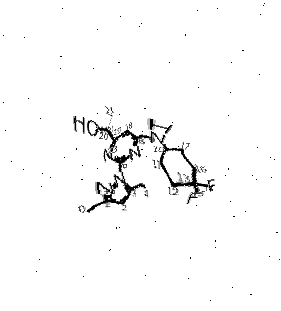 Cc1cc(C)n(-c2nc(NC3CCC(F)(F)CC3)cc([C@@H](C)O)n2)n1